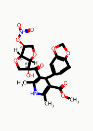 COC(=O)C1=C(C)NC(C)=C(C(=O)[C@@]2(O)CO[C@@H]3[C@@H](O[N+](=O)[O-])CO[C@@H]32)C1c1ccc2c(c1)OCO2